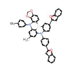 Cc1cc2c3c(c1)N(c1ccc(C(C)(C)C)cc1)c1c(ccc4c1OCO4)B3c1cc(-c3cc4ccccc4o3)ccc1N2c1ccc(-c2cc3ccccc3o2)cc1